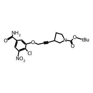 CC(C)(C)OC(=O)N1CCC(C#CCOc2cc(C(N)=O)cc([N+](=O)[O-])c2Cl)C1